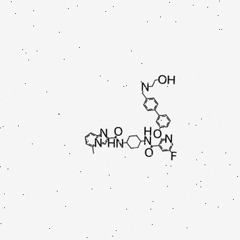 Cc1cccc2nc(C(=O)NC3CCC(NC(=O)c4cc(F)cnc4Oc4cccc(-c5ccc(CN(C)CCO)cc5)c4)CC3)cn12